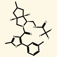 Cc1cccc(-c2sc(C)nc2C(=O)N2C[C@@H]3CC(C)C[C@@H]3[C@H]2CNC(=O)C(F)(F)F)c1